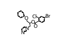 O=C(OC(COc1ccccc1)Cn1ccnc1)c1ccc(Br)cc1Cl